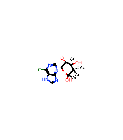 CC(=O)O[C@]1(C(C)=O)C(O)(C(C)=O)OC[C@@H](O)[C@]1(O)C(C)=O.Clc1ncnc2nc[nH]c12